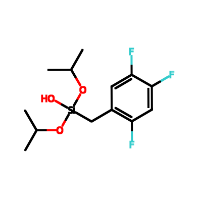 CC(C)O[Si](O)(Cc1cc(F)c(F)cc1F)OC(C)C